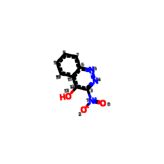 O=[N+]([O-])c1nnc2ccccc2c1O